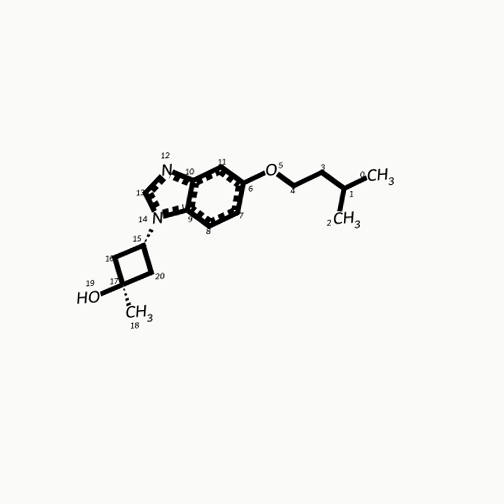 CC(C)CCOc1ccc2c(c1)ncn2[C@H]1C[C@](C)(O)C1